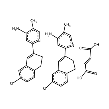 Cc1cnc(C2=Cc3cc(Cl)ccc3CC2)cc1N.Cc1cnc(C2=Cc3cc(Cl)ccc3CC2)cc1N.O=C(O)/C=C/C(=O)O